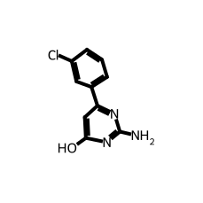 Nc1nc(O)cc(-c2cccc(Cl)c2)n1